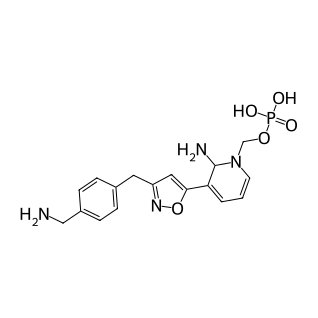 NCc1ccc(Cc2cc(C3=CC=CN(COP(=O)(O)O)C3N)on2)cc1